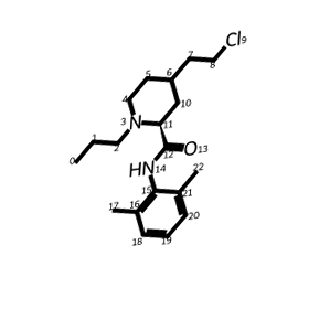 CCCN1CCC(CCCl)C[C@H]1C(=O)Nc1c(C)cccc1C